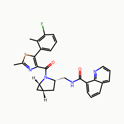 Cc1nc(C(=O)N2[C@H](CNC(=O)c3cccc4cccnc34)C[C@@H]3C[C@@H]32)c(-c2cccc(F)c2C)s1